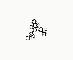 O=c1c(OCc2cnc(Cl)s2)c(-c2ccc(C(F)(F)F)cc2)oc2ccccc12